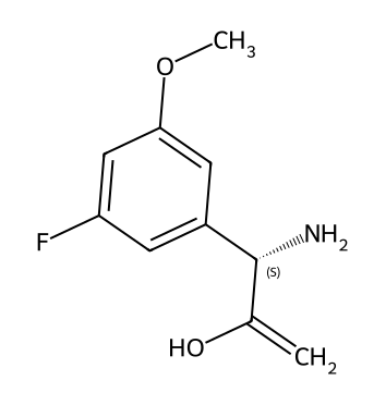 C=C(O)[C@@H](N)c1cc(F)cc(OC)c1